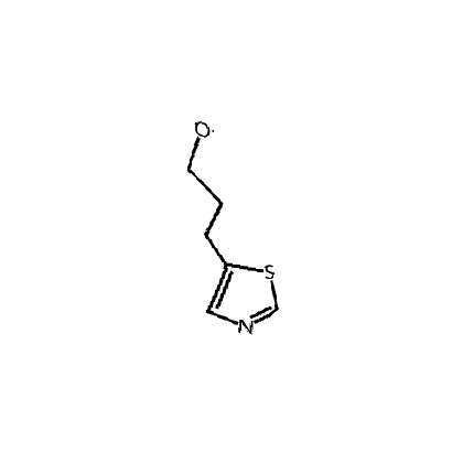 [O]CCCc1cncs1